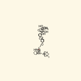 Cc1ccc([C@]23OC[C@]([C@@H](C)O)(O2)[C@@H](O)[C@H](O)[C@H]3O)cc1Cc1ccc(OCCCC(=O)NC2(C(=O)NCCN(C)C)CCCCC2)cc1